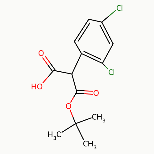 CC(C)(C)OC(=O)C(C(=O)O)c1ccc(Cl)cc1Cl